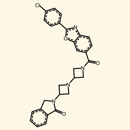 O=C(c1ccc2nc(-c3ccc(Cl)cc3)oc2c1)N1CC(N2CC(N3Cc4ccccc4C3=O)C2)C1